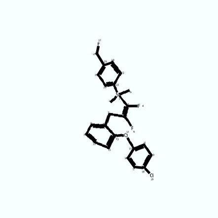 C[Si](C)(C(F)=C(F)Cc1ccccc1Oc1ccc(Cl)cc1)c1ccc(CF)cc1